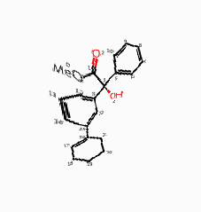 COC(=O)[C@](O)(c1ccccc1)c1cccc(C2=CCCCC2)c1